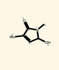 CN1C(=O)C(C(C)(C)C)=CC1O